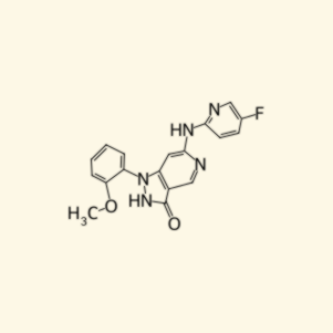 COc1ccccc1-n1[nH]c(=O)c2cnc(Nc3ccc(F)cn3)cc21